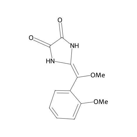 COC(=C1NC(=O)C(=O)N1)c1ccccc1OC